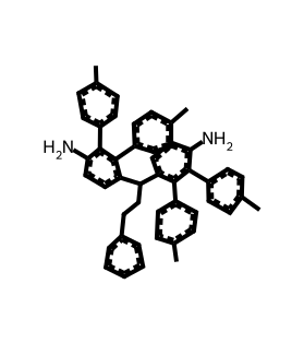 Cc1ccc(-c2c(N)ccc(C(CCc3ccccc3)c3ccc(N)c(-c4ccc(C)cc4)c3-c3ccc(C)cc3)c2-c2ccc(C)cc2)cc1